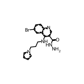 NNC(=O)c1cnc2ccc(Br)cc2c1NCCCn1cccc1